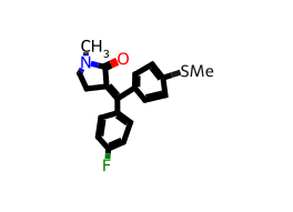 CSc1ccc(C(=C2CCN(C)C2=O)c2ccc(F)cc2)cc1